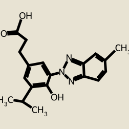 Cc1ccc2nn(-c3cc(CCC(=O)O)cc(C(C)C)c3O)nc2c1